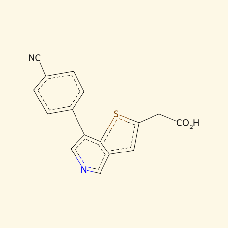 N#Cc1ccc(-c2cncc3cc(CC(=O)O)sc23)cc1